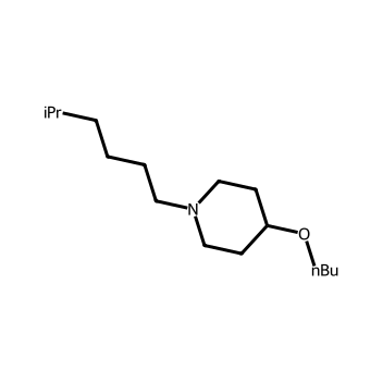 CCCCOC1CCN(CCCCC(C)C)CC1